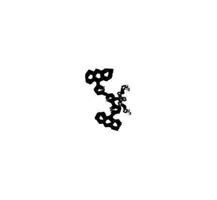 CCOP(=O)(OCC)c1cc(-c2ccc(-c3c4ccccc4cc4ccccc34)s2)sc1-c1ccc(-c2c3ccccc3cc3ccccc23)s1